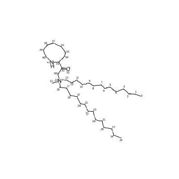 CCCCCCCCCCCCCC[N+](C)(CCCCCCCCCCCCCC)CC(=O)C1CCCCCCCN1